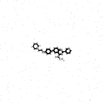 CNc1nc(-c2cccnc2)nc2ccc(-c3ccc(OCCN4CCCCC4)cc3)cc12